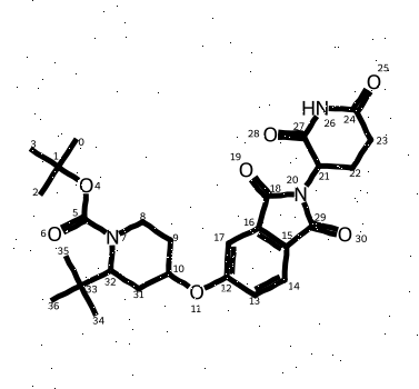 CC(C)(C)OC(=O)N1CCC(Oc2ccc3c(c2)C(=O)N(C2CCC(=O)NC2=O)C3=O)CC1C(C)(C)C